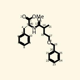 COC(=O)[C@@H](Cc1ccccc1)NC(=O)C(C)CCOCc1ccccc1